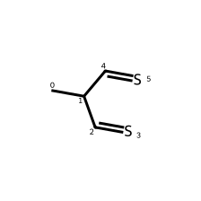 CC(C=S)C=S